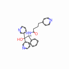 O=C(CCCc1ccncc1)N[C@H](c1ccccc1)C(O)(c1cccnc1)c1cccnc1